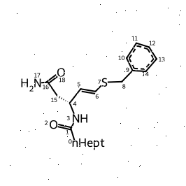 CCCCCCCC(=O)N[C@@H](/C=C/SCc1ccccc1)CC(N)=O